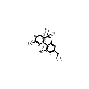 CCc1cc(O)c2c(c1)OC(C)(C)[C@H]1CCC(C)=C[C@H]21